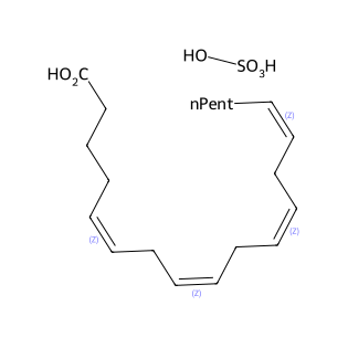 CCCCC/C=C\C/C=C\C/C=C\C/C=C\CCCC(=O)O.O=S(=O)(O)O